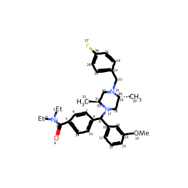 CCN(CC)C(=O)c1ccc(C(c2cccc(OC)c2)N2C[C@@H](C)N(Cc3ccc(F)cc3)C[C@@H]2C)cc1